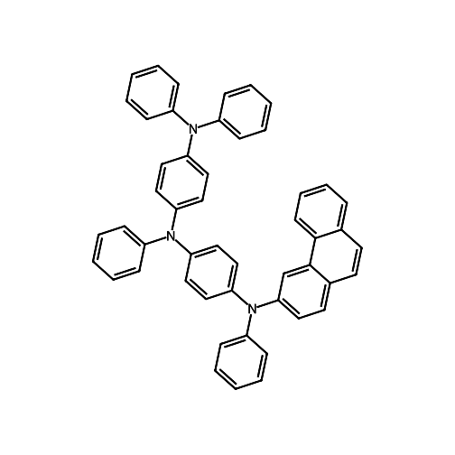 c1ccc(N(c2ccccc2)c2ccc(N(c3ccccc3)c3ccc(N(c4ccccc4)c4ccc5ccc6ccccc6c5c4)cc3)cc2)cc1